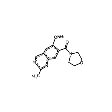 COc1cc2cnc(C)nc2cc1C(=O)N1CCOCC1